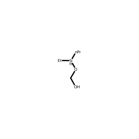 CCC[SiH](CC)OCO